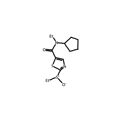 CCN(C(=O)c1cnc([S+]([O-])CC)s1)C1CCCC1